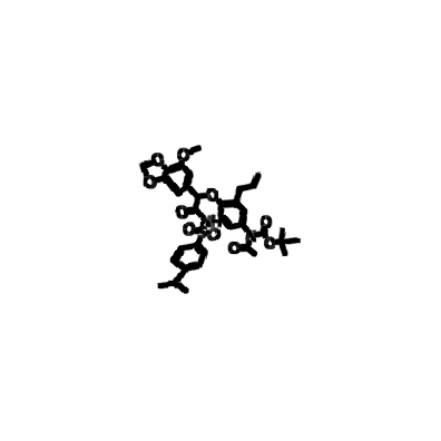 CCCc1cc(N(C(C)=O)C(=O)OC(C)(C)C)ccc1OC(C(=O)NS(=O)(=O)c1ccc(C(C)C)cc1)c1cc(OC)c2c(c1)OCO2